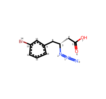 [N-]=[N+]=N[C@@H](CC(=O)O)Cc1cccc(Br)c1